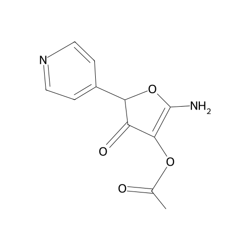 CC(=O)OC1=C(N)OC(c2ccncc2)C1=O